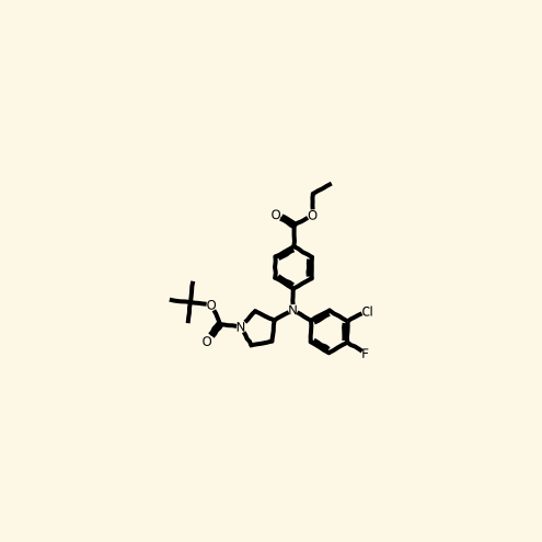 CCOC(=O)c1ccc(N(c2ccc(F)c(Cl)c2)C2CCN(C(=O)OC(C)(C)C)C2)cc1